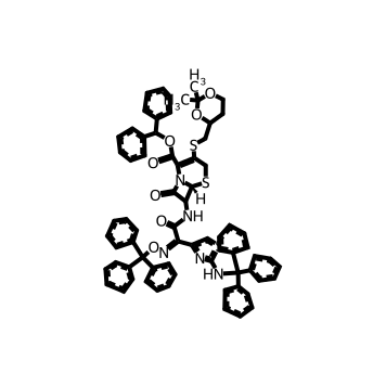 CC1(C)OCCC(CSC2=C(C(=O)OC(c3ccccc3)c3ccccc3)N3C(=O)C(NC(=O)/C(=N\OC(c4ccccc4)(c4ccccc4)c4ccccc4)c4csc(NC(c5ccccc5)(c5ccccc5)c5ccccc5)n4)[C@H]3SC2)O1